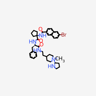 C[N+]1([C@H]2CCCN2)CCC(CCNC(=O)[C@@H](Cc2ccccc2)NC(=O)C2(NC(=O)c3ccc4cc(Br)ccc4c3)CCCC2)CC1